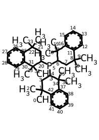 CC1(C)CC(P(C2CC(C)(C)c3ccccc3C2(C)C)C2CC(C)(C)c3ccccc3C2(C)C)C(C)(C)c2ccccc21